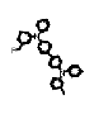 Cc1cccc(N(c2ccccc2)c2ccc(-c3ccc(N(c4ccccc4)c4cccc(CF)c4)cc3)cc2)c1